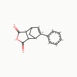 O=C1OC(=O)C2C3CC(C=C3c3ccccc3)C12